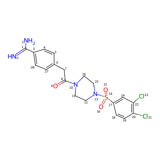 N=C(N)c1ccc(CC(=O)N2CCN(S(=O)(=O)c3ccc(Cl)c(Cl)c3)CC2)cc1